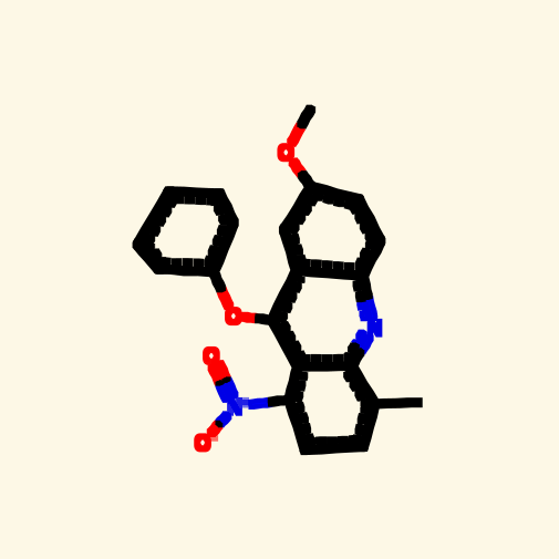 COc1ccc2nc3c(C)ccc([N+](=O)[O-])c3c(Oc3ccccc3)c2c1